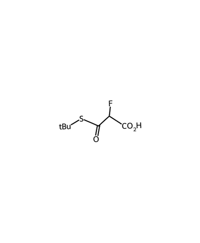 CC(C)(C)SC(=O)C(F)C(=O)O